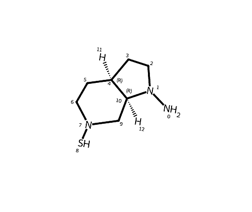 NN1CC[C@@H]2CCN(S)C[C@@H]21